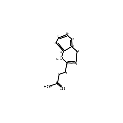 O=C(O)CCC1=CCc2ccccc2O1